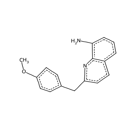 COc1ccc(Cc2ccc3cccc(N)c3n2)cc1